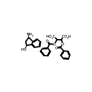 N[C@H]1C[C@H](O)c2ccccc21.O=C(OC(C(=O)O)C(OC(=O)c1ccccc1)C(=O)O)c1ccccc1